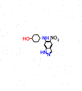 O=[N+]([O-])c1cc2cn[nH]c2cc1N[C@H]1CC[C@H](O)CC1